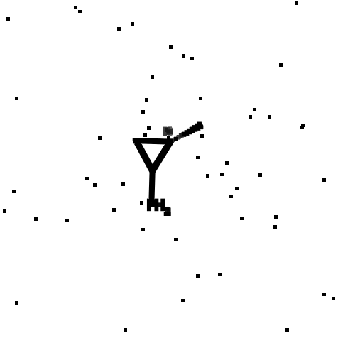 C[C@H]1CC1P